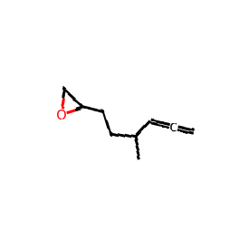 C=C=CC(C)CCC1CO1